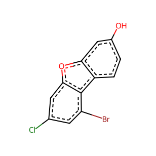 Oc1ccc2c(c1)oc1cc(Cl)cc(Br)c12